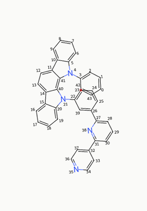 c1ccc(-n2c3ccccc3c3ccc4c5ccccc5n(-c5cccc(-c6cccc(-c7ccncc7)n6)c5)c4c32)cc1